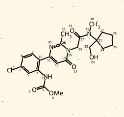 COC(=O)Nc1cc(Cl)ccc1-c1cc(=O)n(CC(=O)N(C)C2(CO)CCCC2)c(C)n1